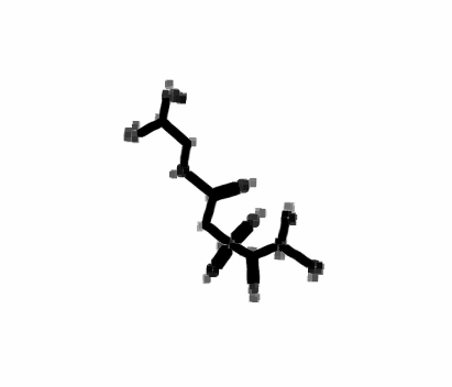 CCCCC(CC)COC(=O)CS(=O)(=O)C(=S)N(CC)CC